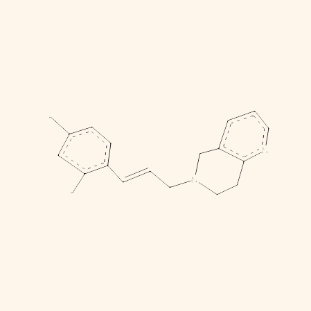 Clc1ccc(C=CCN2CCc3ncccc3C2)c(Cl)c1